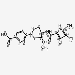 CO[C@H]1CN(c2ccc(C(=O)O)nn2)CC[C@H]1NC(=O)c1[nH]c(C)c(Cl)c1Cl